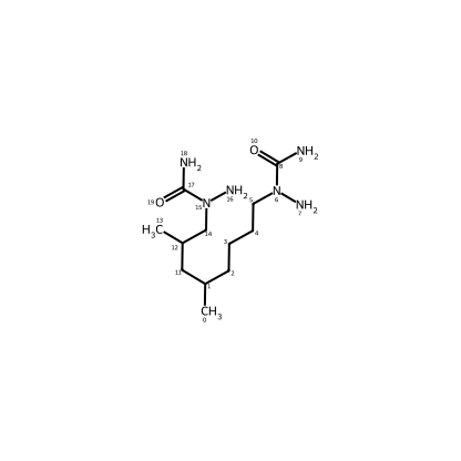 CC(CCCCN(N)C(N)=O)CC(C)CN(N)C(N)=O